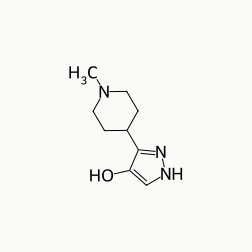 CN1CCC(c2n[nH]cc2O)CC1